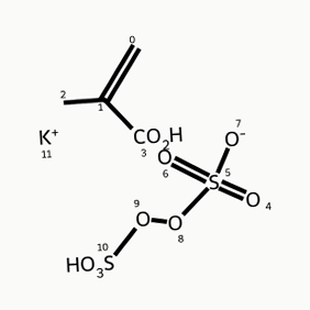 C=C(C)C(=O)O.O=S(=O)([O-])OOS(=O)(=O)O.[K+]